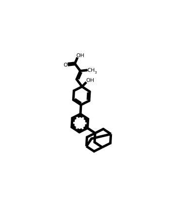 C/C(=C\C1(O)C=CC(c2cccc(C34CC5CC(CC(C5)C3)C4)c2)=CC1)C(=O)O